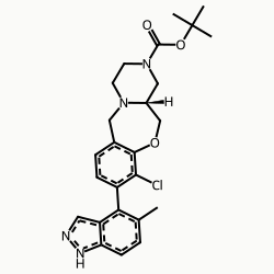 Cc1ccc2[nH]ncc2c1-c1ccc2c(c1Cl)OC[C@H]1CN(C(=O)OC(C)(C)C)CCN1C2